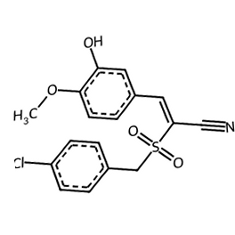 COc1ccc(C=C(C#N)S(=O)(=O)Cc2ccc(Cl)cc2)cc1O